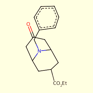 CCOC(=O)C1CC2CC(=O)CC(C1)N2Cc1ccccc1